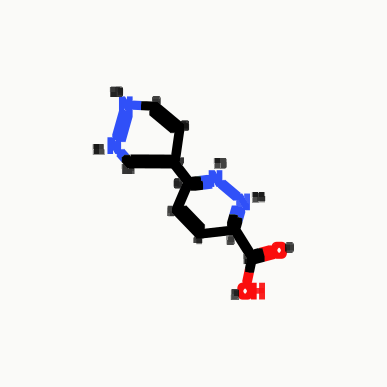 O=C(O)c1ccc(-c2ccnnc2)nn1